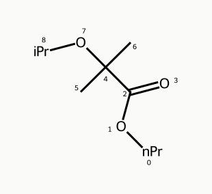 CCCOC(=O)C(C)(C)OC(C)C